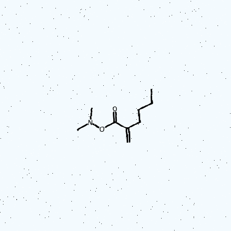 C=C(CCCC)C(=O)ON(C)C